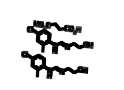 Cc1cc(Cl)ccc1NC=NCCO.Cc1cc(Cl)ccc1NC=NCCO.O=C(O)CCC(=O)O